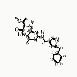 C=C(OC)C1C(=O)Nc2c(C)nc(NCc3cnn(Cc4ccccc4)c3)nc2N1C